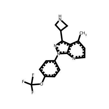 Cc1ccnc2c1c(C1CNC1)nn2-c1ccc(OC(F)(F)F)cc1